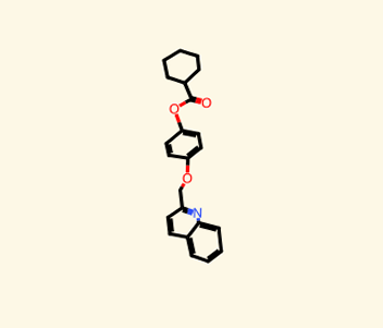 O=C(Oc1ccc(OCc2ccc3ccccc3n2)cc1)C1CCCCC1